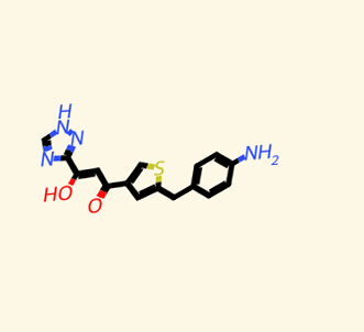 Nc1ccc(Cc2cc(C(=O)C=C(O)c3nc[nH]n3)cs2)cc1